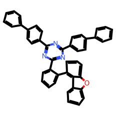 c1ccc(-c2ccc(-c3nc(-c4ccc(-c5ccccc5)cc4)nc(-c4ccccc4-c4cccc5oc6ccccc6c45)n3)cc2)cc1